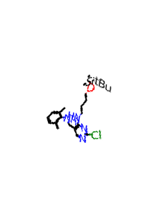 Cc1cccc(C)c1NCc1cnc(Cl)nc1NCCCCO[Si](C)(C)C(C)(C)C